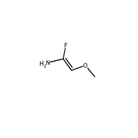 CO/C=C(/N)F